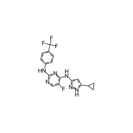 Fc1cnc(Nc2ccc(C(F)(F)F)cc2)nc1Nc1cc(C2CC2)[nH]n1